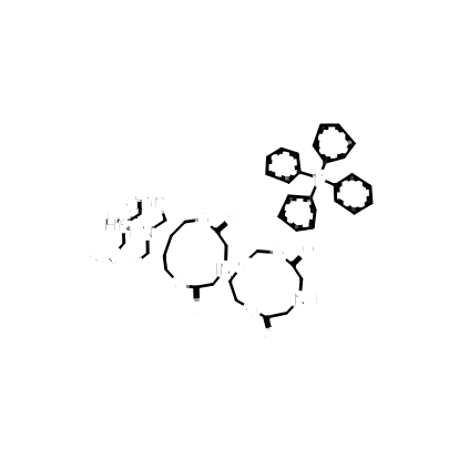 O=C([O-])CNCC(=O)[O-].O=C([O-])CNCC(=O)[O-].O=C1CNCC(=O)OCCCCO1.O=C1CNCC(=O)OCCCCO1.[Fe+3].c1ccc([P+](c2ccccc2)(c2ccccc2)c2ccccc2)cc1